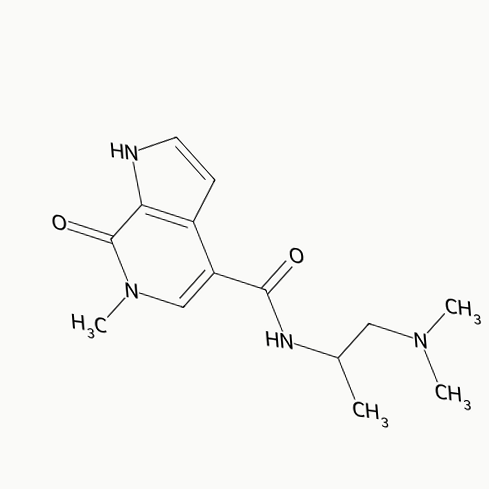 CC(CN(C)C)NC(=O)c1cn(C)c(=O)c2[nH]ccc12